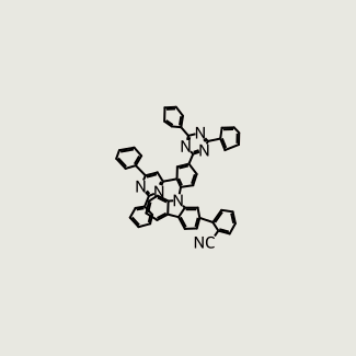 N#Cc1ccccc1-c1ccc2c3ccccc3n(-c3ccc(-c4nc(-c5ccccc5)nc(-c5ccccc5)n4)cc3-c3cc(-c4ccccc4)nc(-c4ccccc4)n3)c2c1